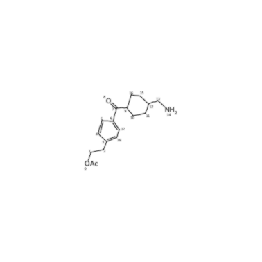 CC(=O)OCCc1ccc(C(=O)C2CCC(CN)CC2)cc1